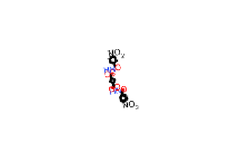 O=C(NOC(=O)C1CC(C(=O)ONC(=O)c2ccc([N+](=O)[O-])cc2)C1)c1ccc([N+](=O)[O-])cc1